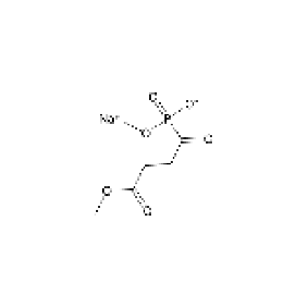 COC(=O)CCC(=O)P(=O)([O-])OC.[Na+]